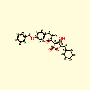 CC(Cc1ccc(OCc2ccccc2)cc1)C(=O)C1=C(O)C(CC2CCCCC2)OC1=O